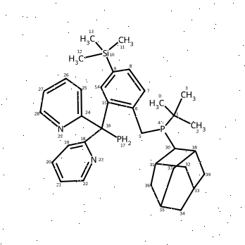 CC(C)(C)P(Cc1ccc([Si](C)(C)C)cc1C(P)(c1ccccn1)c1ccccn1)C1C2CC3CC(C2)CC1C3